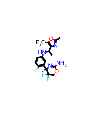 Cc1nc(C(C)Nc2ccc(F)c([C@@]3(C)N=C(N)OCC3(F)F)c2)c(C(F)(F)F)o1